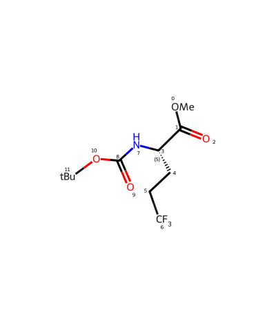 COC(=O)[C@H](CCC(F)(F)F)NC(=O)OC(C)(C)C